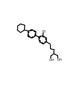 CCc1cc(CCCC(CO)CO)ccc1-c1ccc(C2CCCCC2)cc1